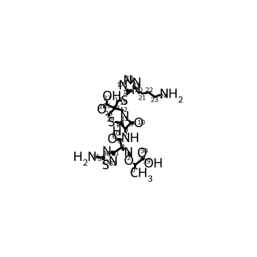 CC(ON=C(C(=O)NC1C(=O)N2CC(CSc3nnnn3CCCN)(C(=O)O)CS[C@H]12)c1nsc(N)n1)C(=O)O